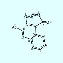 CON=C(C(=O)OC)c1ccccc1/C=C/C(C)=O